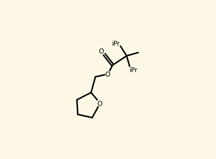 CC(C)C(C)(C(=O)OCC1CCCO1)C(C)C